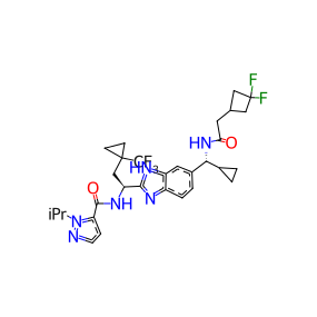 CC(C)n1nccc1C(=O)N[C@@H](CC1(C(F)(F)F)CC1)c1nc2ccc([C@H](NC(=O)CC3CC(F)(F)C3)C3CC3)cc2[nH]1